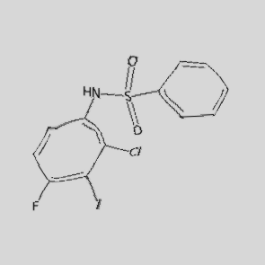 O=S(=O)(Nc1ccc(F)c(I)c1Cl)c1ccccc1